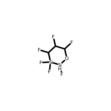 FC1O[SiH](F)[Si](F)(F)C(F)C1F